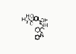 CC(NCC(O)c1ccc(O)c(C(N)=O)c1)C1CCCCC1CN(C)c1ccccc1